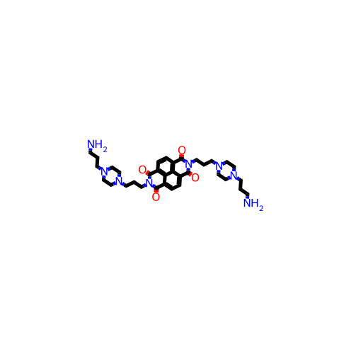 NCCCN1CCN(CCCN2C(=O)c3ccc4c5c(ccc(c35)C2=O)C(=O)N(CCCN2CCN(CCCN)CC2)C4=O)CC1